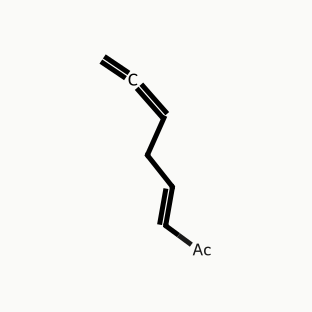 C=C=CCC=CC(C)=O